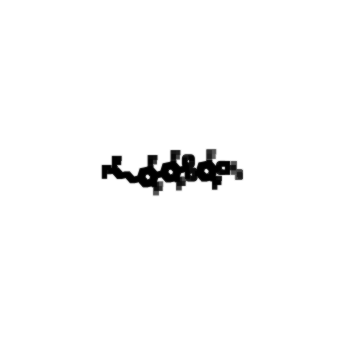 Cc1c(F)cc(OC(=O)c2c(F)cc(-c3c(F)cc(CCC=C(F)F)cc3F)cc2F)cc1F